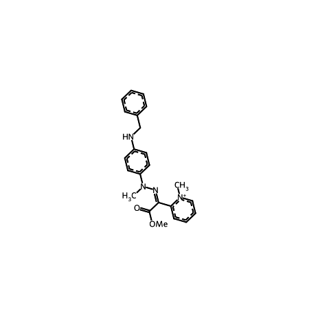 COC(=O)/C(=N\N(C)c1ccc(NCc2ccccc2)cc1)c1cccc[n+]1C